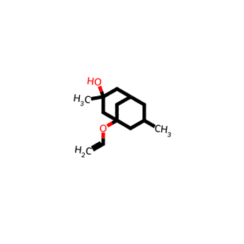 C=COC12CC(C)CC(CC(C)(O)C1)C2